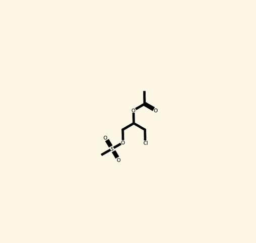 CC(=O)OC(CCl)COS(C)(=O)=O